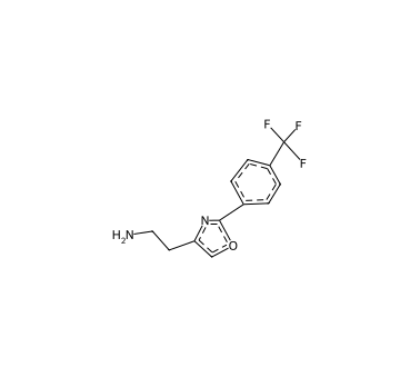 NCCc1coc(-c2ccc(C(F)(F)F)cc2)n1